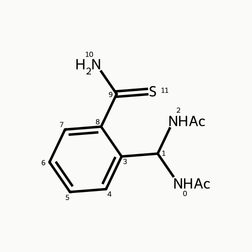 CC(=O)NC(NC(C)=O)c1ccccc1C(N)=S